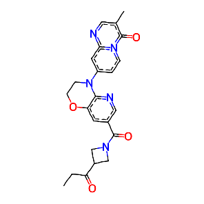 CCC(=O)C1CN(C(=O)c2cnc3c(c2)OCCN3c2ccn3c(=O)c(C)cnc3c2)C1